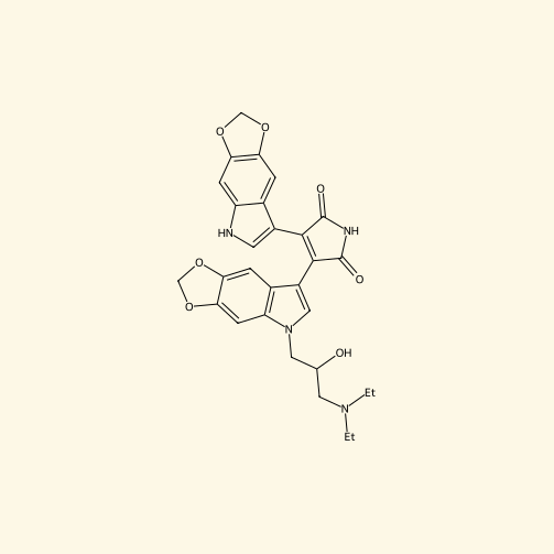 CCN(CC)CC(O)Cn1cc(C2=C(c3c[nH]c4cc5c(cc34)OCO5)C(=O)NC2=O)c2cc3c(cc21)OCO3